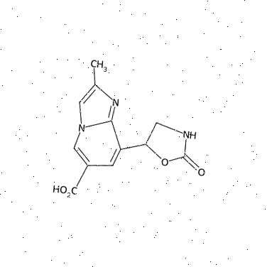 Cc1cn2cc(C(=O)O)cc(C3CNC(=O)O3)c2n1